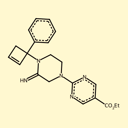 CCOC(=O)c1cnc(N2CCN(C3(c4ccccc4)C=CC3)C(=N)C2)nc1